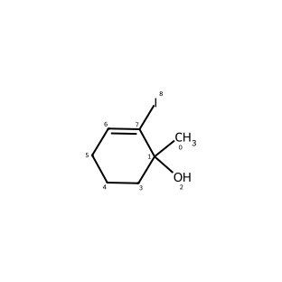 CC1(O)CCCC=C1I